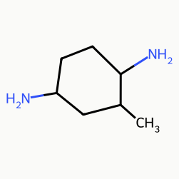 CC1CC(N)CCC1N